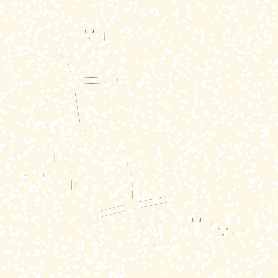 O.O=S(=O)([O-])[O-].O=S(=O)([O-])[O-].[Mg+2].[Mg+2].[Mg+2].[OH-].[OH-]